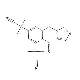 CC(C)(C#N)c1cc(Cn2cncn2)c(C=O)c(C(C)(C)C#N)c1